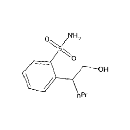 CCCC(CO)c1ccccc1S(N)(=O)=O